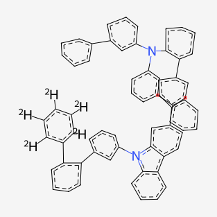 [2H]c1c([2H])c([2H])c(-c2ccccc2-c2cccc(-n3c4ccccc4c4ccc(-c5ccc(-c6ccccc6N(c6cccc(-c7ccccc7)c6)c6cccc(-c7ccccc7)c6)cc5)cc43)c2)c([2H])c1[2H]